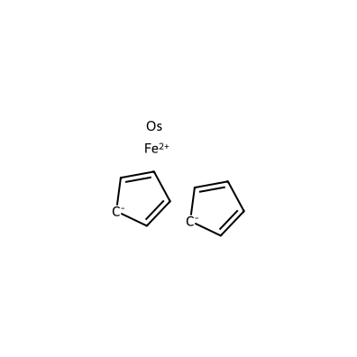 [Fe+2].[Os].c1cc[cH-]c1.c1cc[cH-]c1